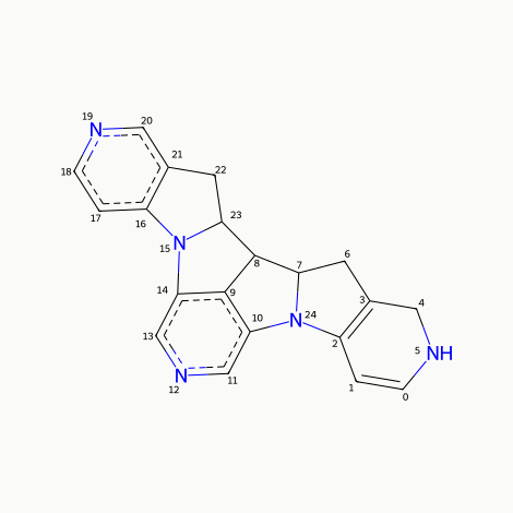 C1=CC2=C(CN1)CC1C3c4c(cncc4N4c5ccncc5CC34)N21